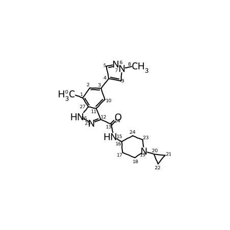 Cc1cc(-c2cnn(C)c2)cc2c(C(=O)NC3CCN(C4CC4)CC3)n[nH]c12